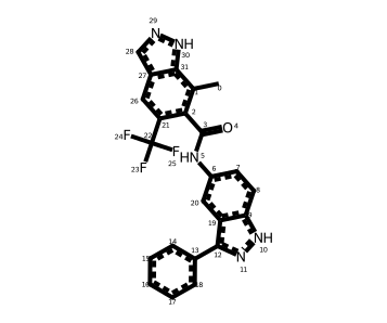 Cc1c(C(=O)Nc2ccc3[nH]nc(-c4ccccc4)c3c2)c(C(F)(F)F)cc2cn[nH]c12